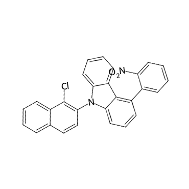 O=[N+]([O-])c1ccccc1-c1cccc2c1c1ccccc1n2-c1ccc2ccccc2c1Cl